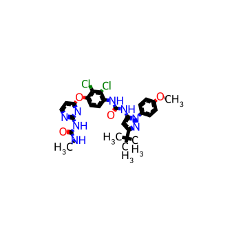 CNC(=O)Nc1nccc(Oc2ccc(NC(=O)Nc3cc(C(C)(C)C)nn3-c3ccc(OC)cc3)c(Cl)c2Cl)n1